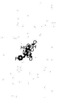 COCCNC(=O)c1c(O)c2ncc(Cc3ccc(F)cc3)c3c2n(c1=O)C=C(C=O)O3